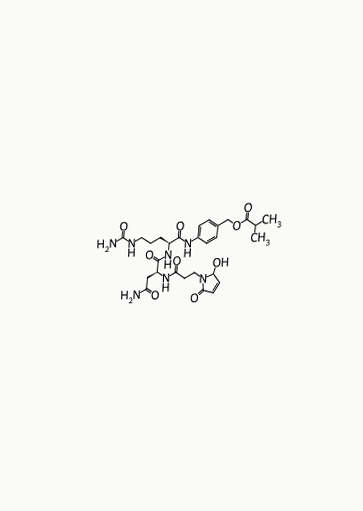 CC(C)C(=O)OCc1ccc(NC(=O)[C@H](CCCNC(N)=O)NC(=O)[C@H](CC(N)=O)NC(=O)CCN2C(=O)C=CC2O)cc1